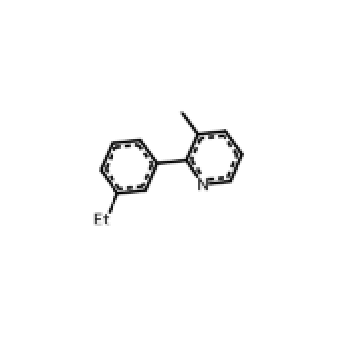 CCc1cccc(-c2ncccc2C)c1